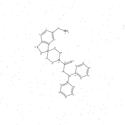 NCc1ccc2c(c1)C1(CCN(C(=O)CC(c3ccccc3)c3ccccc3)CC1)CS2